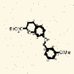 CCOC(=O)C1CCc2ccc(OCc3cccc(OC)c3)cc2O1